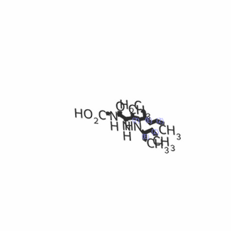 C=CC(=C\C=C/C)/C(NC(/C=C\C)=C/C)=C(\C)C(=N)C(=O)NCC(=O)O